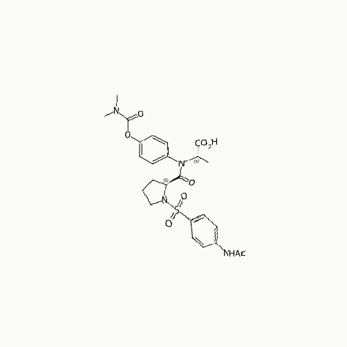 CC(=O)Nc1ccc(S(=O)(=O)N2CCC[C@H]2C(=O)N(c2ccc(OC(=O)N(C)C)cc2)[C@@H](C)C(=O)O)cc1